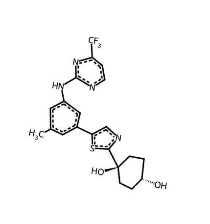 Cc1cc(Nc2nccc(C(F)(F)F)n2)cc(-c2cnc([C@]3(O)CC[C@H](O)CC3)s2)c1